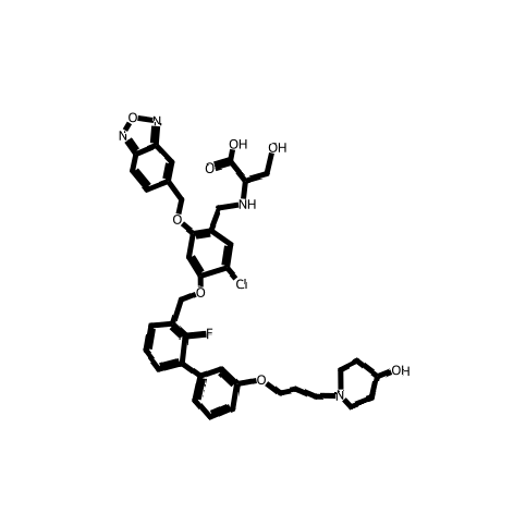 O=C(O)C(CO)NCc1cc(Cl)c(OCc2cccc(-c3cccc(OCCCN4CCC(O)CC4)c3)c2F)cc1OCc1ccc2nonc2c1